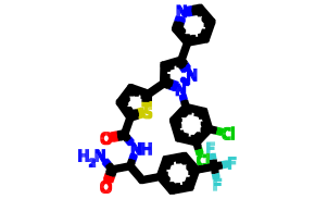 NC(=O)C(Cc1ccc(C(F)(F)F)cc1)NC(=O)c1ccc(-c2cc(-c3cccnc3)nn2-c2ccc(Cl)c(Cl)c2)s1